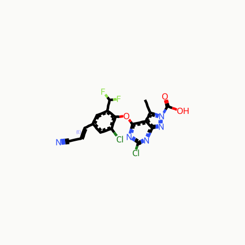 Cc1c2c(Oc3c(Cl)cc(/C=C/C#N)cc3C(F)F)nc(Cl)nc2nn1C(=O)O